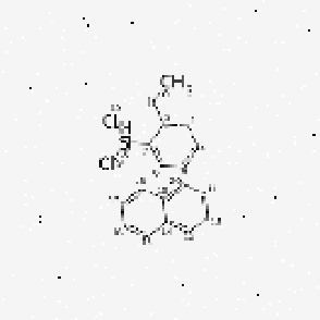 CCc1ccccc1[SiH](Cl)Cl.c1ccc2ccccc2c1